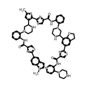 Cc1cc(C2CN(c3ccccc3NC(=O)c3csc(-c4ccc5c(ccn5C)c4)n3)CCN2)c(-c2nc(C(=O)Nc3ccccc3N3CCNC(c4cc(-c5nc(C(=O)Nc6cnccc6N6CCNCC6)cs5)cc5c4OCC5)C3)cs2)s1